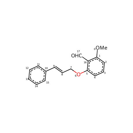 COc1cccc(OCC=Cc2ccccc2)c1C=O